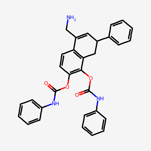 NCC1=CC(c2ccccc2)Cc2c1ccc(OC(=O)Nc1ccccc1)c2OC(=O)Nc1ccccc1